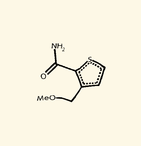 COCc1ccsc1C(N)=O